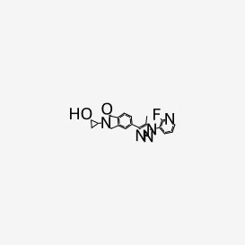 Cc1c(-c2ccc3c(c2)CN(C2CC2O)C3=O)nnn1-c1cccnc1F